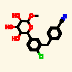 CO[C@H]1O[C@@H](c2ccc(Cl)c(Cc3ccc(C#N)cc3)c2)[C@@H](O)[C@@H](O)[C@@H]1O